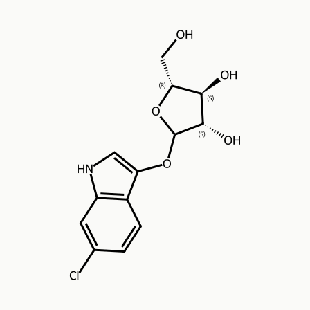 OC[C@H]1OC(Oc2c[nH]c3cc(Cl)ccc23)[C@@H](O)[C@@H]1O